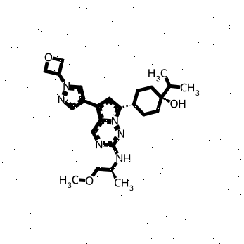 COC[C@H](C)Nc1ncc2c(-c3cnn(C4COC4)c3)cc([C@H]3CC[C@@](O)(C(C)C)CC3)n2n1